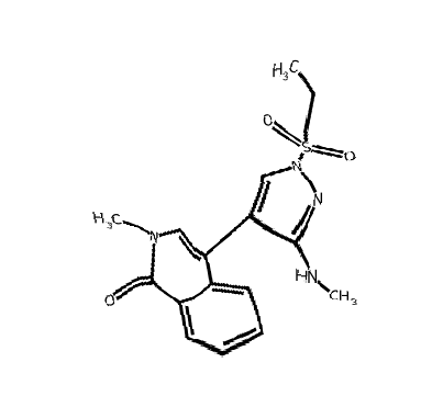 CCS(=O)(=O)n1cc(-c2cn(C)c(=O)c3ccccc23)c(NC)n1